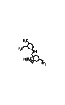 CC1CC12CC(CC(F)(F)F)CC[C@]2(C)CPC1CC[C@H](C)C(CC(F)(F)F)C1